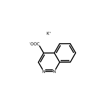 O=C([O-])c1cnnc2ccccc12.[K+]